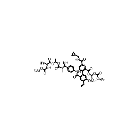 C=Cc1cc(C(=O)Nc2ccc(C(=N)NC(=O)OC(C)OC(=O)C(NC(=O)OC(C)(C)C)C(C)C)cc2)c(-c2ccc(C(=O)NCC3CC3)nc2C(=O)OC(C)OC(=O)OC(C)C)cc1OC